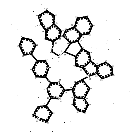 c1ccc(-c2ccc(-c3nc(-c4ccccc4)nc(-c4cc(-n5c6ccccc6c6cc7c(cc65)[C@H](CCc5ccc6ccccc6c5)c5ccc6ccccc6c5-7)cc5ccccc45)n3)cc2)cc1